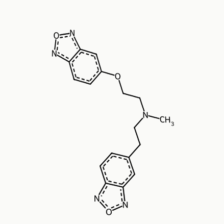 CN(CCOc1ccc2nonc2c1)CCc1ccc2nonc2c1